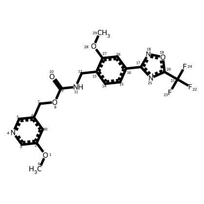 COc1cncc(COC(=O)NCc2ccc(-c3noc(C(F)(F)F)n3)cc2OC)c1